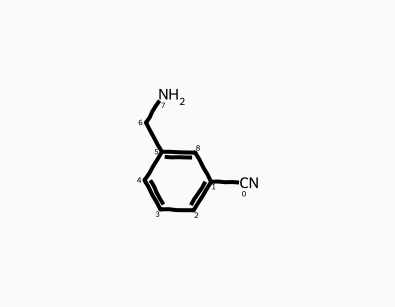 N#Cc1cc[c]c(CN)c1